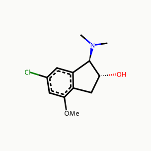 COc1cc(Cl)cc2c1C[C@@H](O)[C@@H]2N(C)C